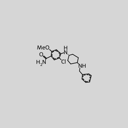 COc1cc(N[C@H]2CC[C@H](NCc3ccccc3)CC2)c(Cl)cc1C(N)=O